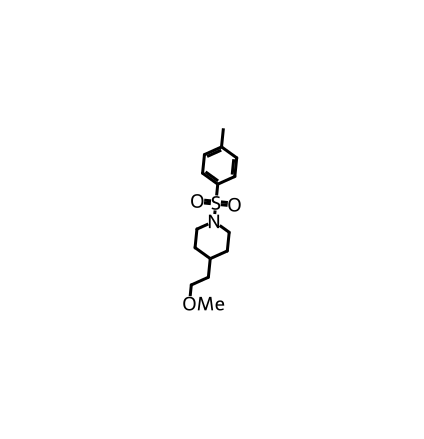 COCCC1CCN(S(=O)(=O)c2ccc(C)cc2)CC1